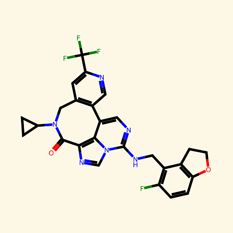 O=C1c2ncn3c(NCc4c(F)ccc5c4CCO5)ncc(c23)-c2cnc(C(F)(F)F)cc2CN1C1CC1